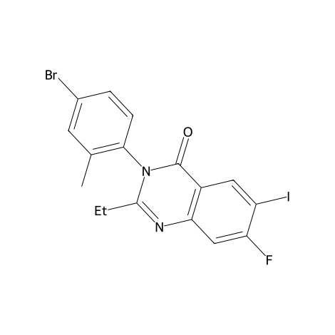 CCc1nc2cc(F)c(I)cc2c(=O)n1-c1ccc(Br)cc1C